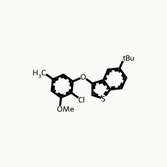 COc1cc(C)cc(Oc2csc3ccc(C(C)(C)C)cc23)c1Cl